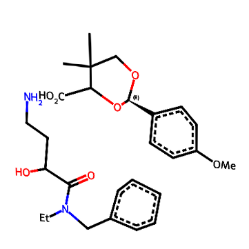 CCN(Cc1ccccc1)C(=O)C(O)CCN.COc1ccc([C@@H]2OCC(C)(C)C(C(=O)O)O2)cc1